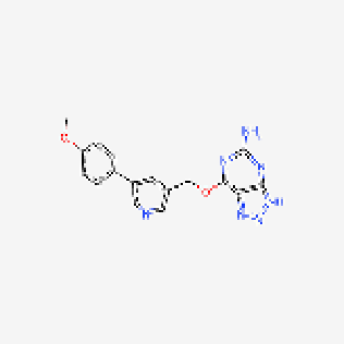 COc1ccc(-c2cncc(COc3nc(N)nc4[nH]nnc34)c2)cc1